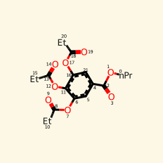 CCCOC(=O)c1cc(OC(=O)CC)c(OC(=O)CC)c(OC(=O)CC)c1